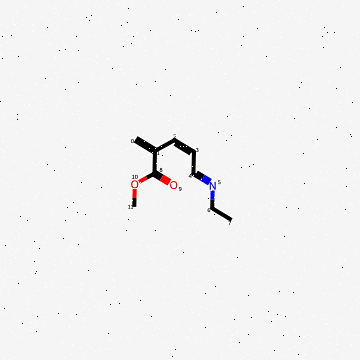 C=C(/C=C\C=N\CC)C(=O)OC